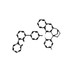 Fc1ccc2c(c1)C13CCC(C1)c1cc4ccccc4c(c13)N2c1ccc(-c2cccc3c2oc2ccccc23)cc1